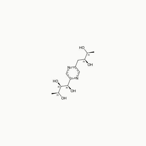 C[C@H](O)[C@@H](O)[C@H](O)c1cnc(C[C@H](O)[C@H](C)O)cn1